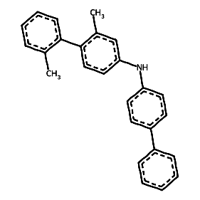 Cc1ccccc1-c1ccc(Nc2ccc(-c3ccccc3)cc2)cc1C